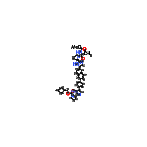 COC(=O)N[C@@H](C)C(=O)N1CCC[C@H]1c1ncc(-c2ccc3cc(-c4ccc(-c5cnc([C@@H]6CCCN6C(=O)OCc6ccccc6)[nH]5)cc4)ccc3c2)[nH]1